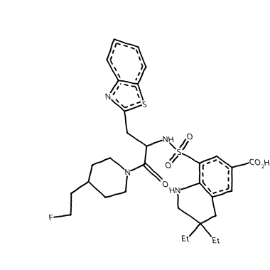 CCC1(CC)CNc2c(cc(C(=O)O)cc2S(=O)(=O)NC(Cc2nc3ccccc3s2)C(=O)N2CCC(CCF)CC2)C1